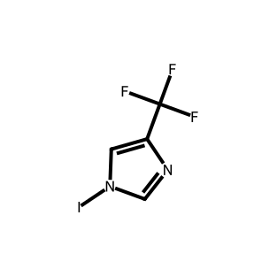 FC(F)(F)c1cn(I)cn1